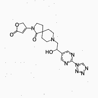 O=C1C=C(N2CCC3(CCN(CC(O)c4cnc(-n5cnnn5)nc4)CC3)C2=O)CO1